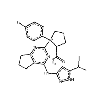 CC(C)c1cc(Nc2nc([N+]3(c4ccc(F)nc4)CCCC3C(N)=O)nc3c2CCC3)n[nH]1